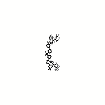 COC(=O)N[C@H](C(=O)N1CC2(CC2)C[C@H]1c1ncc(-c2ccc3c(c2)C(F)(F)c2cc(-c4ccc5nc([C@@H]6C[Si](C)(C)CN6C(=O)[C@H](NC(=O)OC)C(C)C)[nH]c5c4)ccc2-3)[nH]1)C(C)C